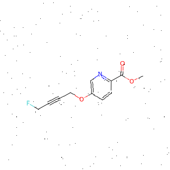 COC(=O)c1ccc(OCC#CCF)cn1